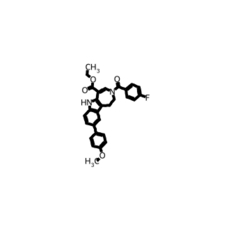 CCOC(=O)C1=CN(C(=O)c2ccc(F)cc2)CCc2c1[nH]c1ccc(-c3ccc(OC)cc3)cc21